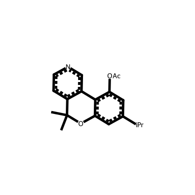 CC(=O)Oc1cc(C(C)C)cc2c1-c1cnccc1C(C)(C)O2